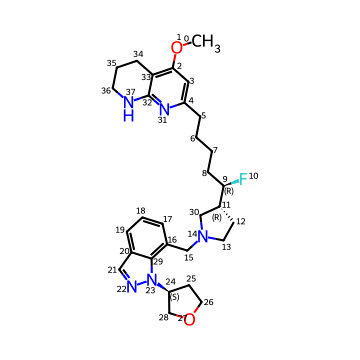 COc1cc(CCCC[C@@H](F)[C@@H]2CCN(Cc3cccc4cnn([C@H]5CCOC5)c34)C2)nc2c1CCCN2